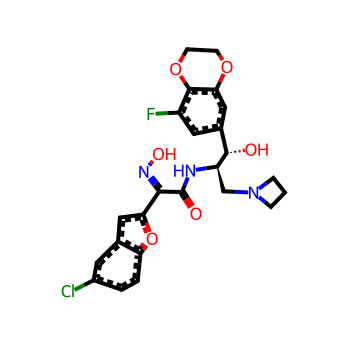 O=C(N[C@H](CN1CCC1)[C@@H](O)c1cc(F)c2c(c1)OCCO2)C(=NO)c1cc2cc(Cl)ccc2o1